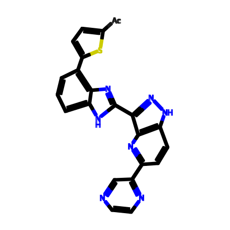 CC(=O)c1ccc(-c2cccc3[nH]c(-c4n[nH]c5ccc(-c6cnccn6)nc45)nc23)s1